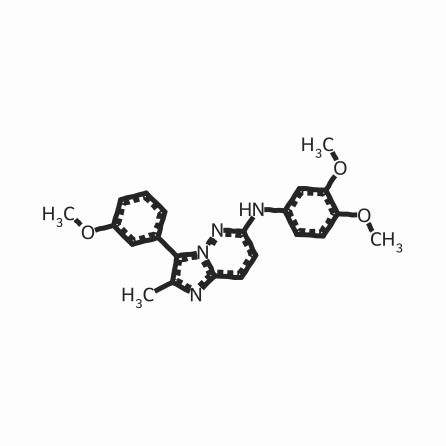 COc1cccc(-c2c(C)nc3ccc(Nc4ccc(OC)c(OC)c4)nn23)c1